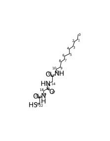 CCCCCCCCCCCNC(=O)CNC(=O)CNC(=O)CS